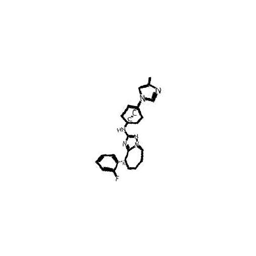 Cc1cn(C23CCC(Nc4nc5n(n4)CCCC[C@@H]5c4ccccc4F)(CC2)CC3)cn1